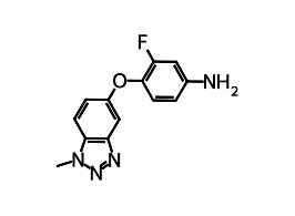 Cn1nnc2cc(Oc3ccc(N)cc3F)ccc21